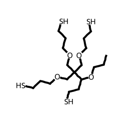 CCCOC(CCS)C(COCCCS)(COCCCS)COCCCS